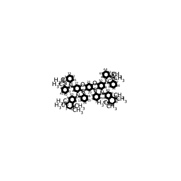 CC1(C)CCC(C)(C)c2cc(N3c4ccccc4B4c5cc6c(cc5Oc5cc(N7c8ccccc8[Si](C)(C)c8ccccc87)cc3c54)Oc3cc(N4c5ccccc5[Si](C)(C)c5ccccc54)cc4c3B6c3ccccc3N4c3ccc4c(c3)C(C)(C)CCC4(C)C)ccc21